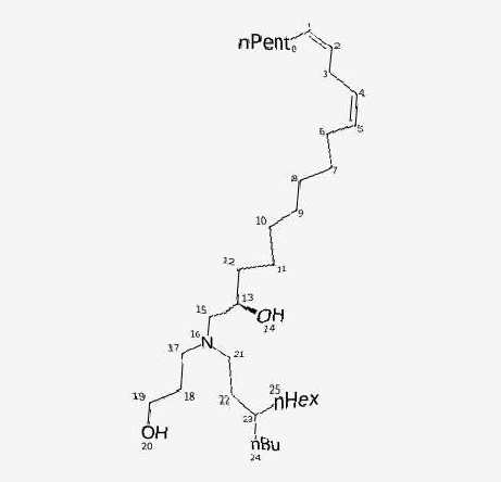 CCCCC/C=C\C/C=C\CCCCCCC[C@@H](O)CN(CCCO)CCC(CCCC)CCCCCC